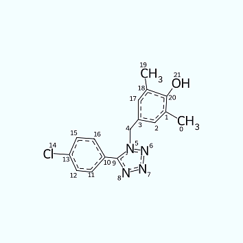 Cc1cc(Cn2nnnc2-c2ccc(Cl)cc2)cc(C)c1O